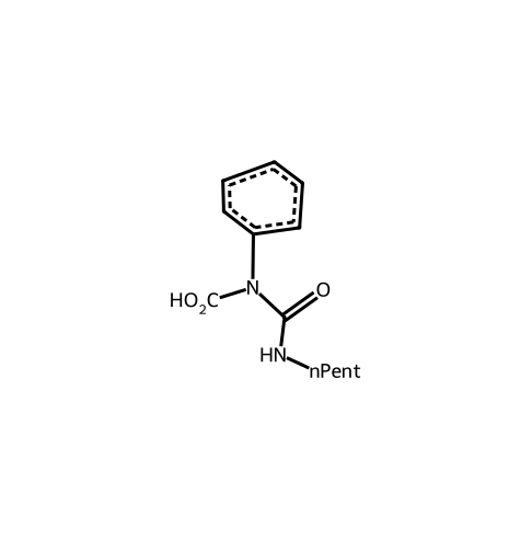 CCCCCNC(=O)N(C(=O)O)c1ccccc1